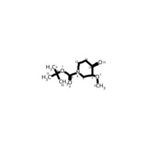 COC1CN(C(=O)OC(C)(C)C)CCC1=O